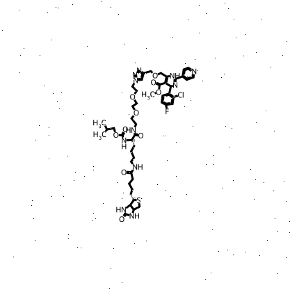 COC(=O)C1=C(COCc2cn(CCOCCOCCNC(=O)[C@H](CCCCNC(=O)CCCC[C@@H]3SCC4NC(=O)NC43)NC(=O)OCC(C)C)nn2)NC(c2ccncc2)=NC1c1ccc(F)cc1Cl